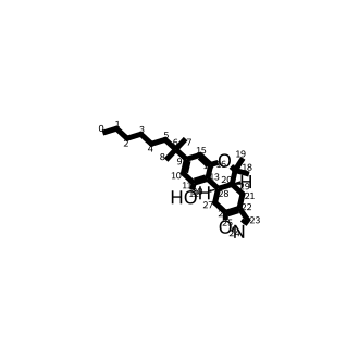 CCCCCCC(C)(C)c1cc(O)c2c(c1)OC(C)(C)[C@@H]1Cc3cnoc3C[C@@H]21